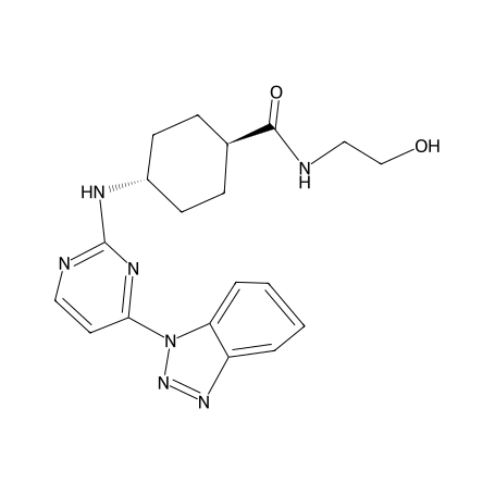 O=C(NCCO)[C@H]1CC[C@H](Nc2nccc(-n3nnc4ccccc43)n2)CC1